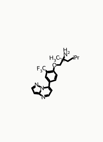 CC(C)C[C@](C)(N)COc1ccc(-c2ccnc3ccnn23)cc1C(F)(F)F